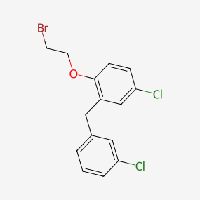 Clc1cccc(Cc2cc(Cl)ccc2OCCBr)c1